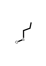 CCCS[O]